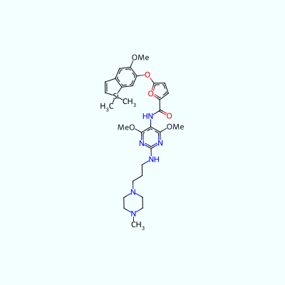 COc1cc2c(cc1Oc1ccc(C(=O)Nc3c(OC)nc(NCCCN4CCN(C)CC4)nc3OC)o1)[Si](C)(C)C=C2